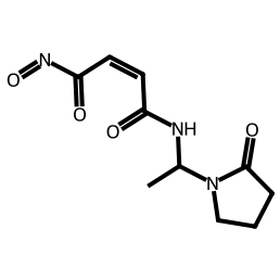 CC(NC(=O)/C=C\C(=O)N=O)N1CCCC1=O